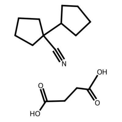 N#CC1(C2CCCC2)CCCC1.O=C(O)CCC(=O)O